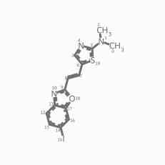 CN(C)c1ncc(C=Cc2nc3ccc(I)cc3o2)s1